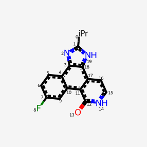 CC(C)c1nc2c3ccc(F)cc3c3c(=O)[nH]ccc3c2[nH]1